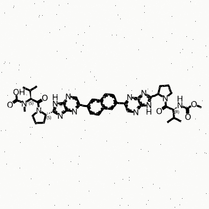 COC(=O)N[C@@H](C(=O)N1CCCC1c1nc2nc(-c3ccc4cc(-c5cnc6[nH]c([C@@H]7CCCN7C(=O)[C@H](C(C)C)N(C)C(=O)O)nc6n5)ccc4c3)cnc2[nH]1)C(C)C